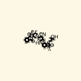 C[C@H]1CN(c2nc(Nc3ccc4c(c3)n(CCC(C)(C)O)c(=O)n4C)c(F)cc2C#N)C[C@@H](N2C(=O)c3ccccc3C2=O)C1(F)F